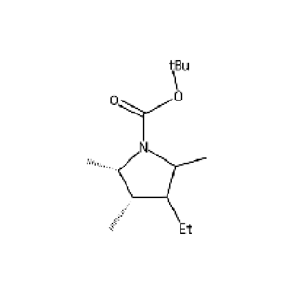 CCC1C(C)N(C(=O)OC(C)(C)C)[C@@H](C)[C@H]1C